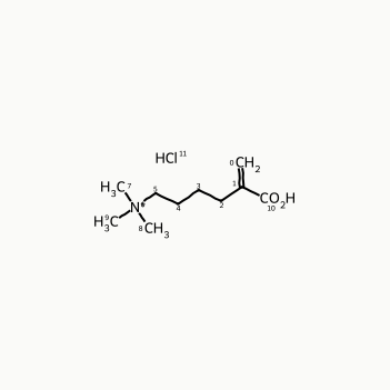 C=C(CCCC[N+](C)(C)C)C(=O)O.Cl